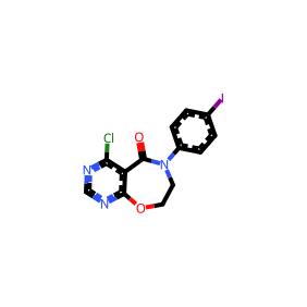 O=C1c2c(Cl)ncnc2OCCN1c1ccc(I)cc1